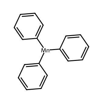 c1cc[c]([Mn]([c]2ccccc2)[c]2ccccc2)cc1